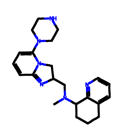 CN(CC1CN2C(N3CCNCC3)=CC=CC2=N1)C1CCCc2cccnc21